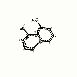 COc1cccc2ccnc(C(C)(C)C)c12